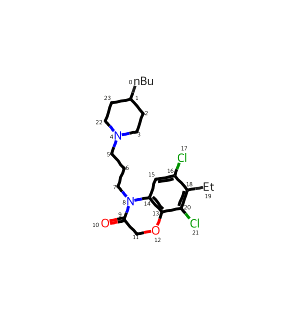 CCCCC1CCN(CCCN2C(=O)COc3c2cc(Cl)c(CC)c3Cl)CC1